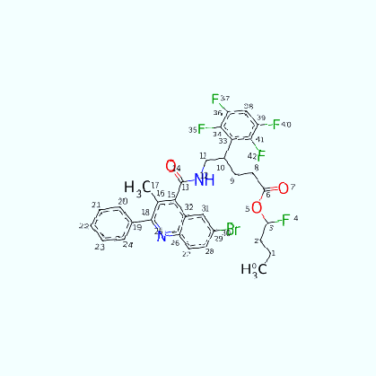 CCCC(F)OC(=O)CCC(CNC(=O)c1c(C)c(-c2ccccc2)nc2ccc(Br)cc12)c1c(F)c(F)cc(F)c1F